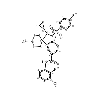 CC(=O)N1CCC2(CC1)c1cc(C(=O)Nc3cccc(Cl)c3F)ccc1N(S(=O)(=O)c1ccc(F)cc1)C2C1CC1